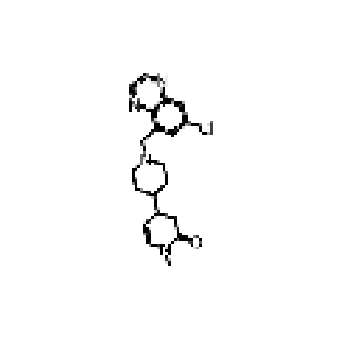 CN1C=CC(C2CCN(Cc3cc(Cl)cc4nccnc34)CC2)CC1=O